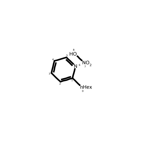 CCCCCCc1ccccn1.O=[N+]([O-])O